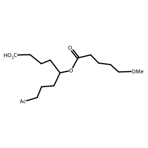 COCCCCC(=O)OC(CCCC(C)=O)CCCC(=O)O